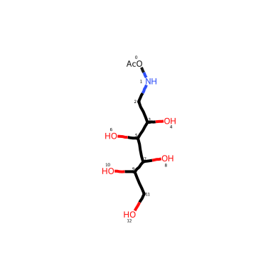 CC(=O)ONCC(O)C(O)C(O)C(O)CO